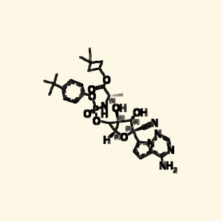 C[C@H](NP(=O)(Oc1ccc(C(C)(C)C)cc1)OC1[C@H]2O[C@@](C#N)(c3ccc4c(N)ncnn34)[C@H](O)[C@@]12O)C(=O)OC1CC(C)(C)C1